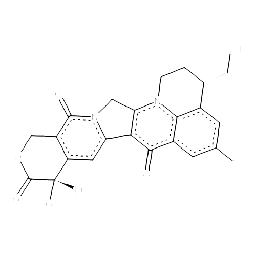 CC[C@@]1(O)C(=O)OCc2c1cc1n(c2=O)Cc2c-1c(=O)c1cc(F)cc3c1n2CC[C@@H]3CO